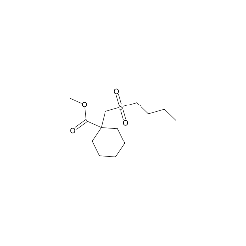 CCCCS(=O)(=O)CC1(C(=O)OC)CCCCC1